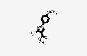 COC(=O)c1cn(-c2ccc(OC)cc2)nc1C